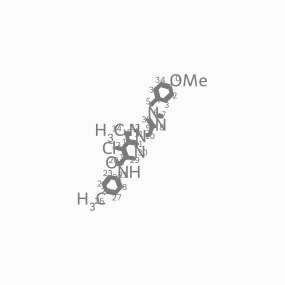 COc1ccc(Cn2cnc(Cn3nc(C)c4c(Cl)c(C(=O)Nc5ccc(C)cc5)cnc43)c2)cc1